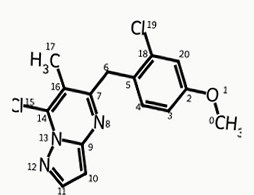 COc1ccc(Cc2nc3ccnn3c(Cl)c2C)c(Cl)c1